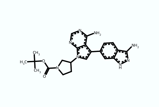 CC(C)(C)OC(=O)N1CCC(n2cc(-c3ccc4c(N)n[nH]c4c3)c3c(N)ncnc32)C1